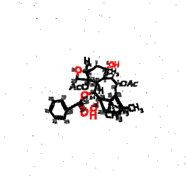 CC(=O)O[C@H]1C[C@]2(C)[C@@H](O)C[C@H]3OC[C@@]3(OC(C)=O)[C@H]2[C@H](OC(=O)c2ccccc2)[C@]2(O)CCC(C)=C1C2(C)C